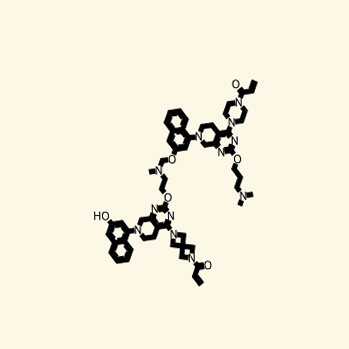 C=CC(=O)N1CCN(c2nc(OCCCN(C)C)nc3c2CCN(c2cc(OCN(C)CCOc4nc5c(c(N6CC7(CN(C(=O)C=C)C7)C6)n4)CCN(c4cc(O)cc6ccccc46)C5)cc4ccccc24)C3)CC1